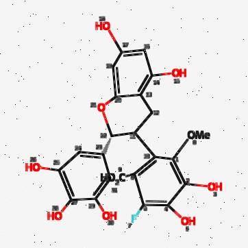 COc1c(O)c(O)c(F)c(C(=O)O)c1C1Cc2c(O)cc(O)cc2O[C@H]1c1cc(O)c(O)c(O)c1